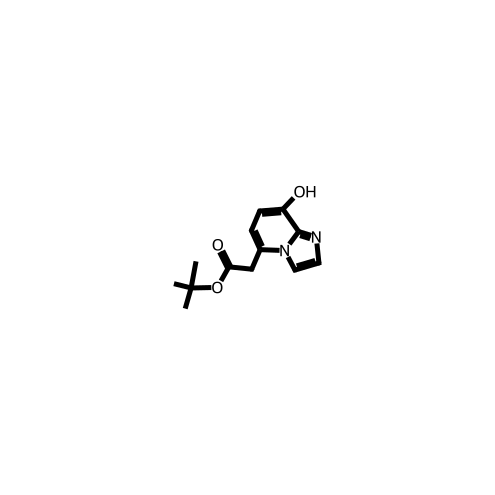 CC(C)(C)OC(=O)Cc1ccc(O)c2nccn12